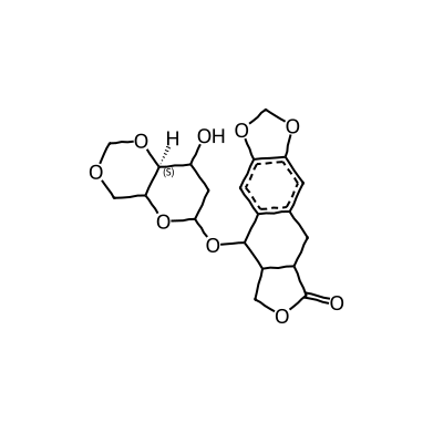 O=C1OCC2C1Cc1cc3c(cc1C2OC1CC(O)[C@@H]2OCOCC2O1)OCO3